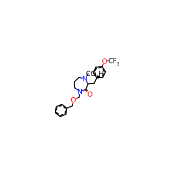 O=C1C(Cc2ccc(OC(F)(F)F)cc2)N(C(=O)O)CCCN1COCc1ccccc1